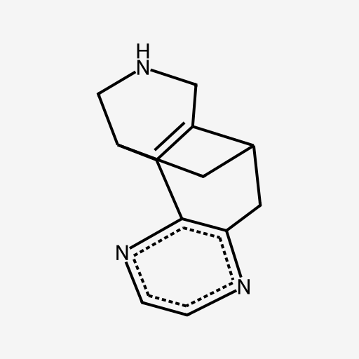 c1cnc2c(n1)CC1CC3CNCC1=C23